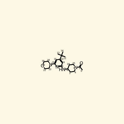 CC(=O)N1CCC(Nc2cc(C(C)(C)C)cc(N3CCOCC3)n2)CC1